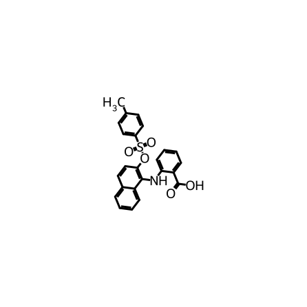 Cc1ccc(S(=O)(=O)Oc2ccc3ccccc3c2Nc2ccccc2C(=O)O)cc1